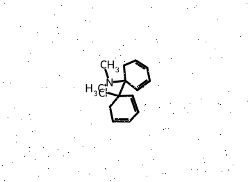 CN(C)C1(C2(Cl)C=CC=CC2)C=CC=CC1